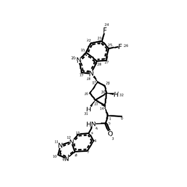 CC(C(=O)Nc1ccc2ncnn2c1)[C@H]1[C@@H]2C[C@@H](n3cnc4cc(F)c(F)cc43)C[C@@H]21